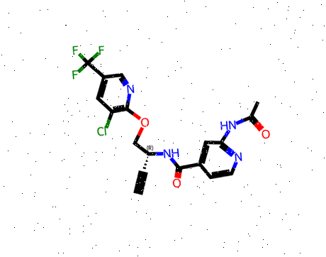 C#C[C@H](COc1ncc(C(F)(F)F)cc1Cl)NC(=O)c1ccnc(NC(C)=O)c1